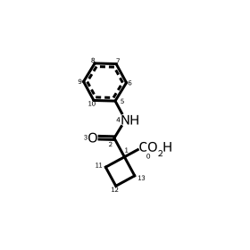 O=C(O)C1(C(=O)Nc2ccccc2)CCC1